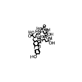 O=C(O)CC(NCCN(CCNC(CC(=O)O)P(=O)(O)O)[C@@H](Cc1cc(I)c(Oc2ccc(O)cc2)c(I)c1)C(=O)O)P(=O)(O)O